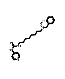 CCON(CCCCCCCCNC(=N)Nc1ccncc1)Cc1ccccc1